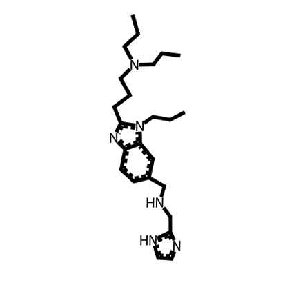 CCCN(CCC)CCCc1nc2ccc(CNCc3ncc[nH]3)cc2n1CCC